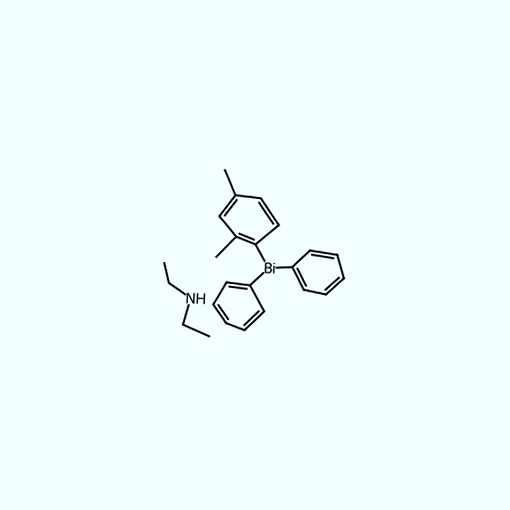 CCNCC.Cc1cc[c]([Bi]([c]2ccccc2)[c]2ccccc2)c(C)c1